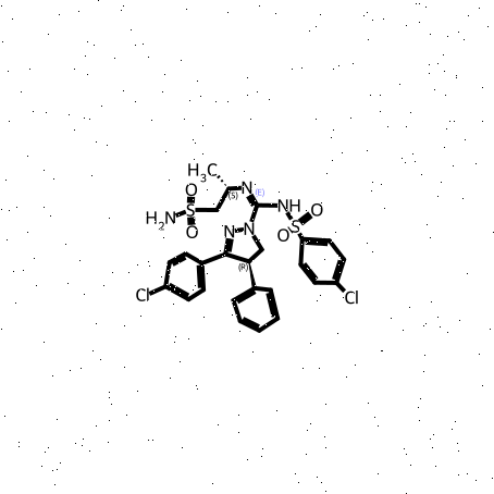 C[C@@H](CS(N)(=O)=O)/N=C(/NS(=O)(=O)c1ccc(Cl)cc1)N1C[C@@H](c2ccccc2)C(c2ccc(Cl)cc2)=N1